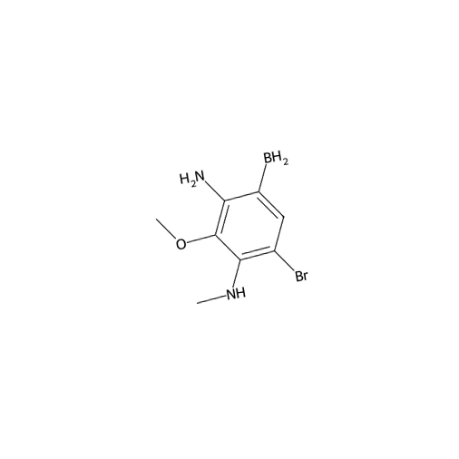 Bc1cc(Br)c(NC)c(OC)c1N